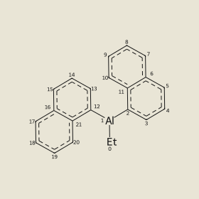 C[CH2][Al]([c]1cccc2ccccc12)[c]1cccc2ccccc12